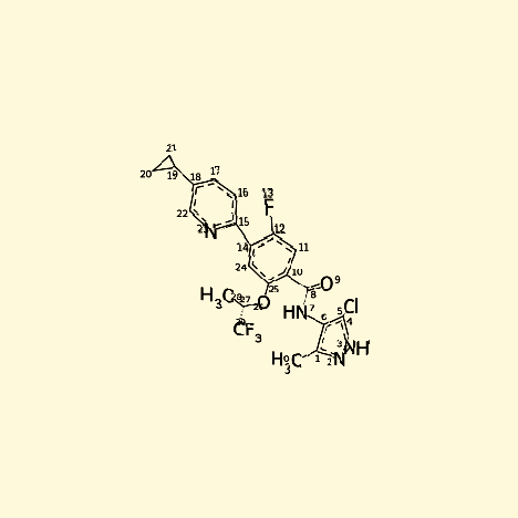 Cc1n[nH]c(Cl)c1NC(=O)c1cc(F)c(-c2ccc(C3CC3)cn2)cc1O[C@@H](C)C(F)(F)F